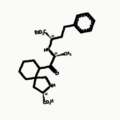 CCOC(=O)[C@H](CCc1ccccc1)N[C@H](C)C(=O)C1CCCCC12CN[C@H](C(=O)O)C2